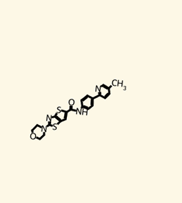 Cc1ccc(-c2ccc(NC(=O)c3cc4sc(N5CCOCC5)nc4s3)cc2)nc1